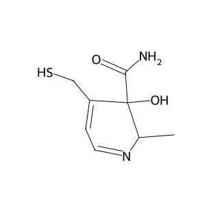 CC1N=CC=C(CS)C1(O)C(N)=O